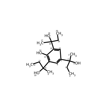 CCC(C)(O)c1cc(C(C)(O)CC)c(O)c(C(C)(O)CC)c1